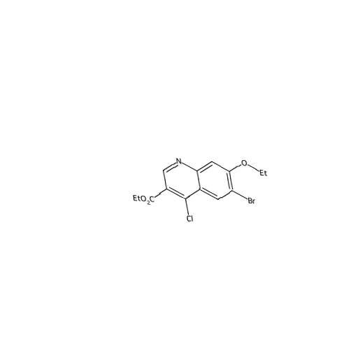 CCOC(=O)c1cnc2cc(OCC)c(Br)cc2c1Cl